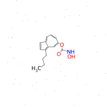 CCCCc1ccc2cccc(OC(=O)NO)cc1-2